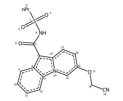 CCCS(=O)(=O)NC(=O)c1c2ccccc2n2cc(OCC#N)ccc12